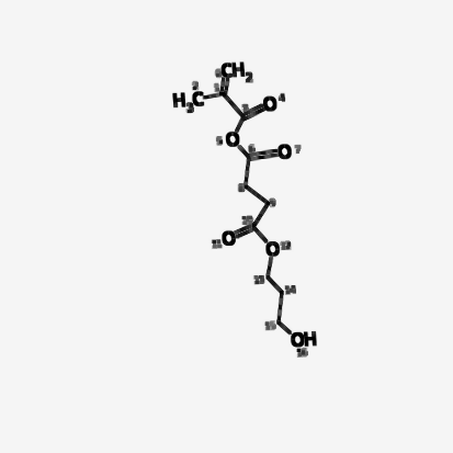 C=C(C)C(=O)OC(=O)CCC(=O)OCCCO